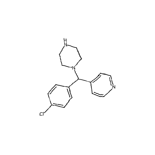 Clc1ccc(C(c2ccncc2)N2CCNCC2)cc1